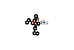 CC(C)(C)c1ccc(N(c2ccc(-c3cccc4ccccc34)cc2)c2ccc(-c3cccc4ccccc34)cc2)c(-c2cccc3c2oc2ccccc23)c1